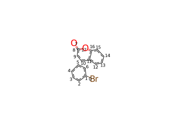 Brc1ccccc1.O=c1ccc2ccccc2o1